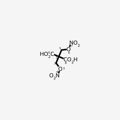 O=C(O)C(CO[N+](=O)[O-])(CO[N+](=O)[O-])C(=O)O